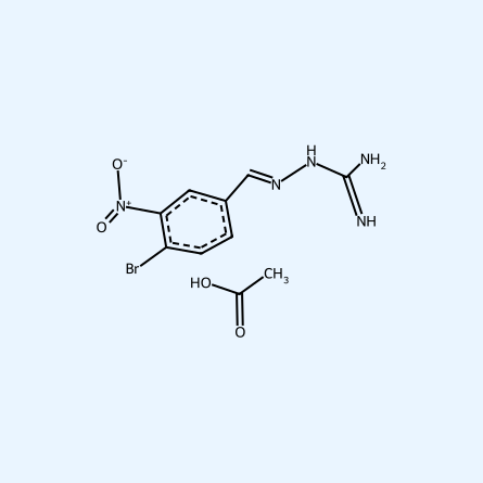 CC(=O)O.N=C(N)NN=Cc1ccc(Br)c([N+](=O)[O-])c1